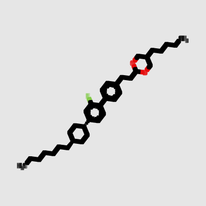 CCCCCCC[C@H]1CC[C@H](c2ccc(-c3ccc(CCC4OCC(CCCCC)CO4)cc3)c(F)c2)CC1